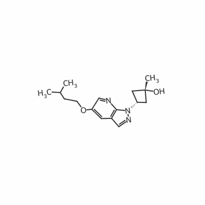 CC(C)CCOc1cnc2c(cnn2[C@H]2C[C@@](C)(O)C2)c1